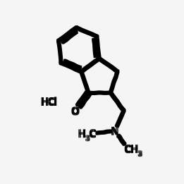 CN(C)CC1Cc2ccccc2C1=O.Cl